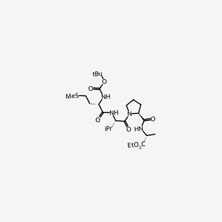 CCOC(=O)[C@@H](C)NC(=O)[C@@H]1CCCN1C(=O)[C@@H](NC(=O)[C@H](CCSC)NC(=O)OC(C)(C)C)C(C)C